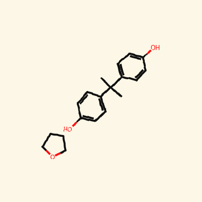 C1CCOC1.CC(C)(c1ccc(O)cc1)c1ccc(O)cc1